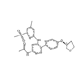 CC(=O)Nc1cc(Nc2cc(C)cc(S(C)(=O)=O)n2)c(-c2ccc(O[C@H]3CCOC3)cn2)cn1